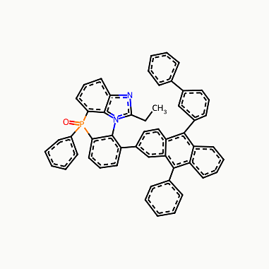 CCc1nc2cccc3c2n1-c1c(-c2ccc4c(-c5cccc(-c6ccccc6)c5)c5ccccc5c(-c5ccccc5)c4c2)cccc1P3(=O)c1ccccc1